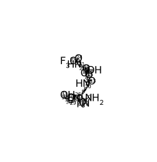 Nc1ncnc2c1c(C#CCNC(=O)COP(=O)(O)OCCNC(=O)C(F)(F)F)cn2C1CCC(CO)O1